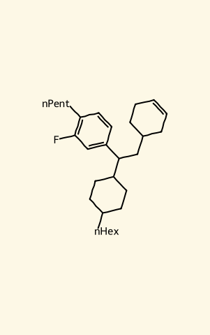 CCCCCCC1CCC(C(CC2CC=CCC2)c2ccc(CCCCC)c(F)c2)CC1